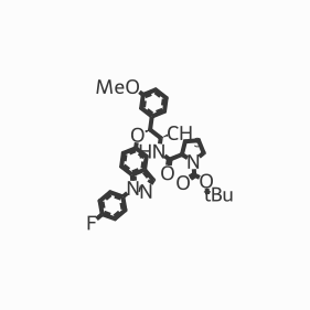 COc1cccc([C@@H](Oc2ccc3c(cnn3-c3ccc(F)cc3)c2)[C@H](C)NC(=O)C2CCCN2C(=O)OC(C)(C)C)c1